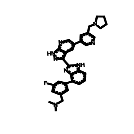 CN(C)Cc1cc(F)cc(-c2cccc3[nH]c(-c4n[nH]c5ncc(-c6cncc(CN7CCCC7)c6)cc45)nc23)c1